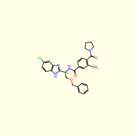 Cc1cc(C(=O)N[C@@H](COCc2ccccc2)c2nc3cc(Cl)ccc3[nH]2)ccc1C(=O)N1CCCC1